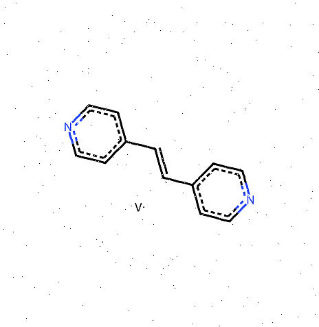 C(=Cc1ccncc1)c1ccncc1.[V]